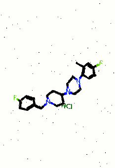 Cc1cc(F)ccc1N1CCN(C2CCN(Cc3ccc(F)cc3)CC2)CC1.Cl